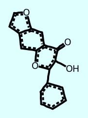 O=c1c(O)c(-c2ccccc2)oc2cc3ccoc3cc12